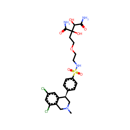 CN1Cc2c(Cl)cc(Cl)cc2[C@@H](c2ccc(S(=O)(=O)NCCOCCC(O)(C(N)=O)C(O)C(N)=O)cc2)C1